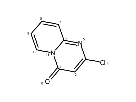 O=c1cc(Cl)nc2ccccn12